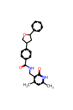 Cc1cc(C)c(CNC(=O)c2ccc(C3COC(c4ccccc4)C3)cc2)c(=O)[nH]1